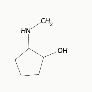 CNC1CCCC1O